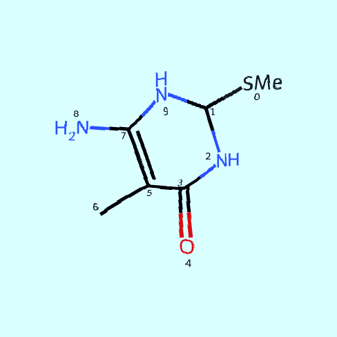 CSC1NC(=O)C(C)=C(N)N1